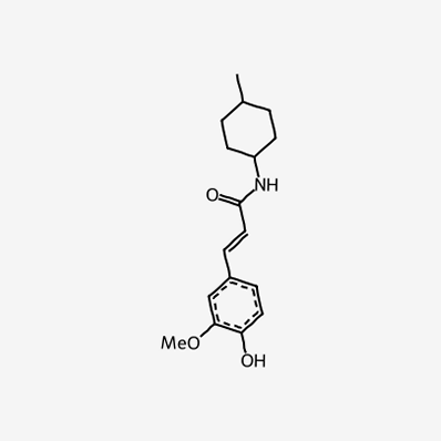 COc1cc(/C=C/C(=O)NC2CCC(C)CC2)ccc1O